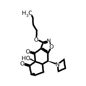 CCCCOc1noc2c1C(=O)[C@@]1(O)C(=O)C=CCC1[C@@H]2N1CCC1